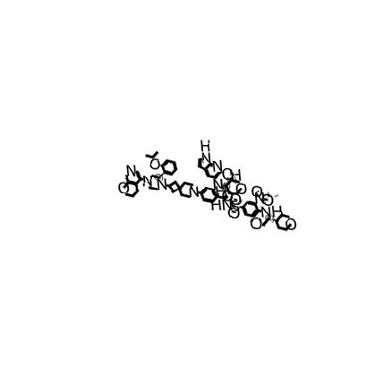 CC(C)Oc1ccccc1[C@@H]1CN(c2cncc3c2CCCO3)CCN1C1CC2(CCN(c3ccc(C(=O)NS(=O)(=O)c4cc5c(c([N+](=O)[O-])c4)N[C@H](C4CCOCC4)CO5)c(N4c5cc6cc[nH]c6nc5O[C@H]5COCC[C@@H]54)c3)CC2)C1